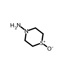 NN1CC[S+]([O-])CC1